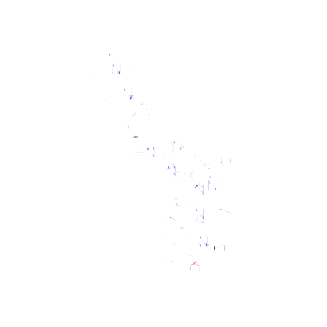 C=CCn1c(=O)c2cnc(Nc3ccc(N4CCN(C)CC4)cc3)nc2n1-c1ccc2c(n1)N(CC)C(=O)C2(C)C